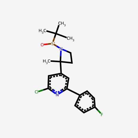 CC1(c2cc(Cl)nc(-c3ccc(F)cc3)c2)CCN1[S+]([O-])C(C)(C)C